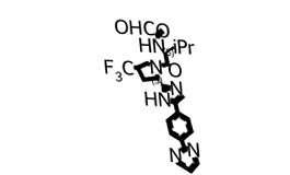 CC(C)[C@H](NC(=O)C=O)C(=O)N1CC(C(F)(F)F)C[C@H]1c1ncc(-c2ccc(-c3ncccn3)cc2)[nH]1